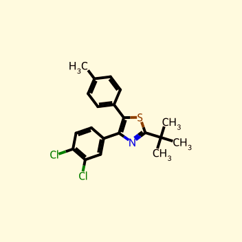 Cc1ccc(-c2sc(C(C)(C)C)nc2-c2ccc(Cl)c(Cl)c2)cc1